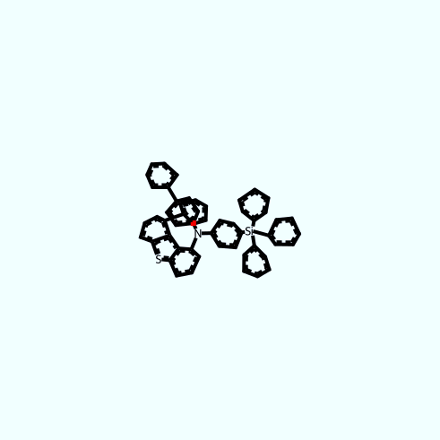 c1ccc(-c2ccc(N(c3ccc([Si](c4ccccc4)(c4ccccc4)c4ccccc4)cc3)c3cccc4sc5cccc(-c6ccccc6)c5c34)cc2)cc1